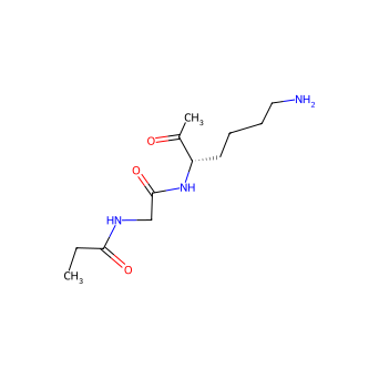 CCC(=O)NCC(=O)N[C@@H](CCCCN)C(C)=O